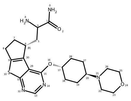 NC(=O)C(N)C[C@H]1CCc2sc3ncnc(O[C@H]4CC[C@H](N5CCOCC5)CC4)c3c21